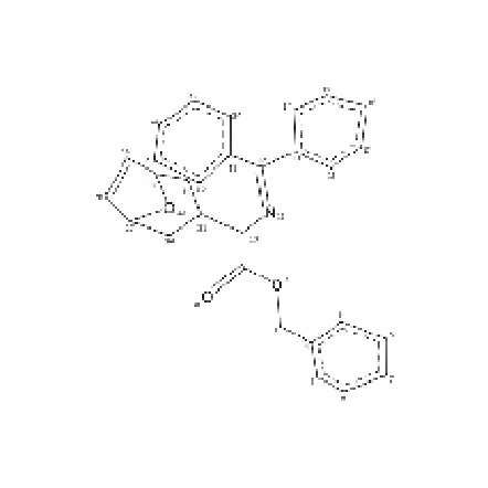 O=C(OCc1ccccc1)C(N=C(c1ccccc1)c1ccccc1)C1CC2C=CC(C1)O2